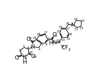 O=C1CCC(N2Cc3cc(C(=O)N[C@H](c4ccc(CN5CCCC5)cc4)C(F)(F)F)ccc3C2=O)C(=O)N1